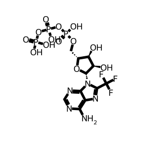 Nc1ncnc2c1nc(C(F)(F)F)n2[C@@H]1O[C@H](COP(=O)(O)OP(=O)(O)OP(=O)(O)O)[C@@H](O)[C@H]1O